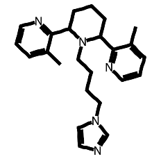 Cc1cccnc1C1CCCC(c2ncccc2C)N1CCCCn1ccnc1